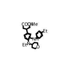 CCc1ccc(Nc2cc(C(COC)CC(=O)O)ccc2N(CC)C2CCOCC2)cc1